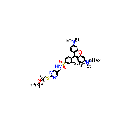 CCCCCC/[N+](CC)=c1/ccc2c(-c3ccc(S(=O)(=O)NCc4cnc(SC[Si](C)(C)O[Si](C)(C)CCC)nc4)cc3S(=O)(=O)O)c3ccc(N(CC)CC)cc3oc-2c1